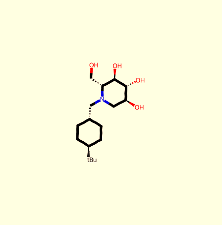 CC(C)(C)[C@H]1CC[C@H](CN2C[C@H](O)[C@@H](O)[C@H](O)[C@H]2CO)CC1